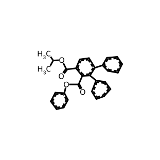 CC(C)OC(=O)c1ccc(-c2ccccc2)c(-c2ccccc2)c1C(=O)Oc1ccccc1